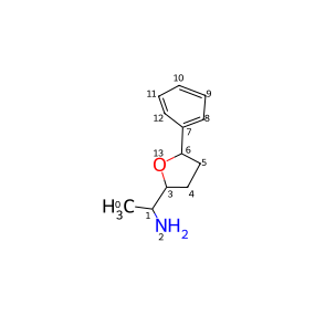 CC(N)C1CCC(c2ccccc2)O1